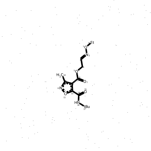 CCON=CCOC(=O)c1c(C)noc1C(=O)NC(C)(C)C